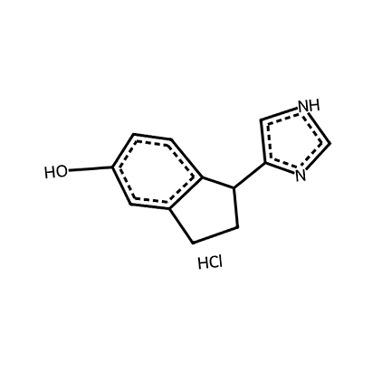 Cl.Oc1ccc2c(c1)CCC2c1c[nH]cn1